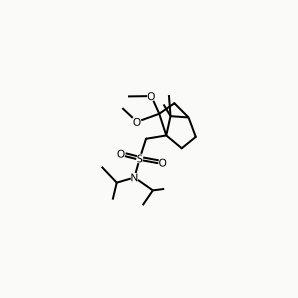 COC1(OC)CC2CCC1(CS(=O)(=O)N(C(C)C)C(C)C)C2(C)C